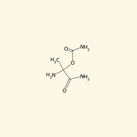 CC(N)(OC(N)=O)C(N)=O